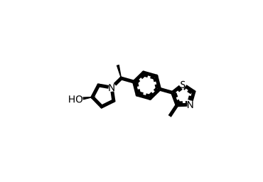 Cc1ncsc1-c1ccc([C@H](C)N2CC[C@@H](O)C2)cc1